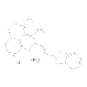 Cc1c(/C=C(\C(=O)O)c2nc3ccccc3s2)cc2c3c1[C@@H](C)CCN3CC[C@H]2C